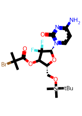 CC(C)(Br)C(=O)OC1[C@@H](CO[Si](C)(C)C(C)(C)C)O[C@@H](n2ccc(N)nc2=O)C1(F)F